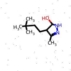 CC1=NNC(O)C1CCC(C)(C)C